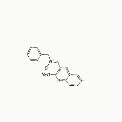 COc1nc2ccc(C)cc2cc1/C=[N+](\[O-])Cc1ccccc1